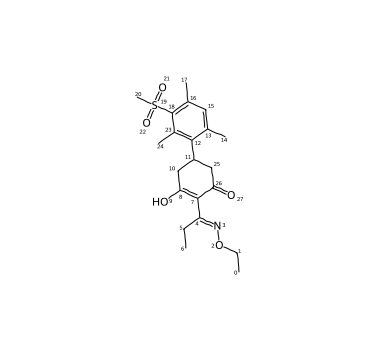 CCON=C(CC)C1=C(O)CC(c2c(C)cc(C)c(S(C)(=O)=O)c2C)CC1=O